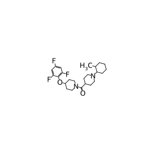 CC1CCCCC1N1CCC(C(=O)N2CCC(Oc3c(F)cc(F)cc3F)CC2)CC1